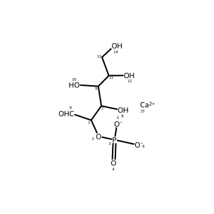 O=CC(OP(=O)([O-])[O-])C(O)C(O)C(O)CO.[Ca+2]